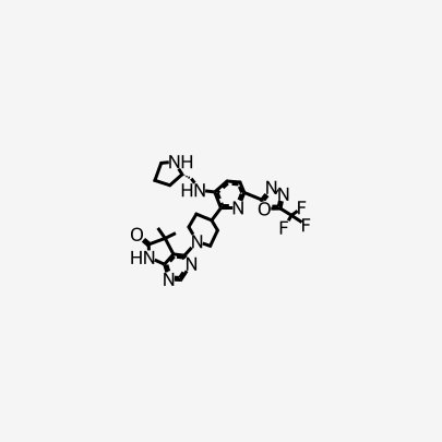 CC1(C)C(=O)Nc2ncnc(N3CCC(c4nc(-c5nnc(C(F)(F)F)o5)ccc4NC[C@@H]4CCCN4)CC3)c21